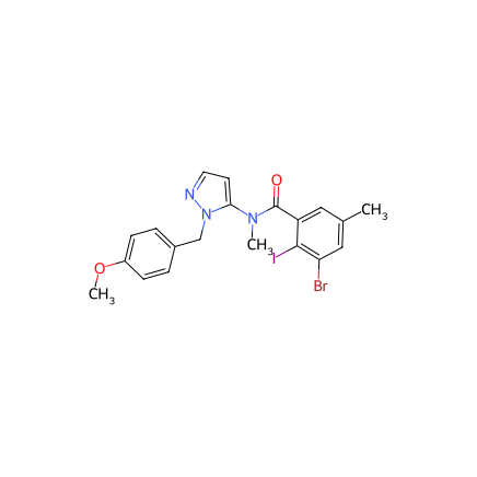 COc1ccc(Cn2nccc2N(C)C(=O)c2cc(C)cc(Br)c2I)cc1